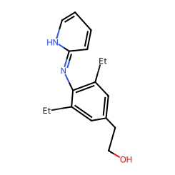 CCc1cc(CCO)cc(CC)c1N=c1cccc[nH]1